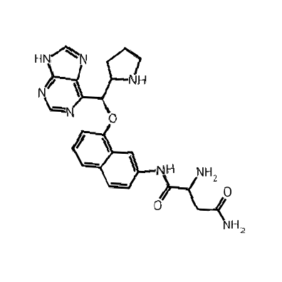 NC(=O)CC(N)C(=O)Nc1ccc2cccc(O[C@@H](c3ncnc4[nH]cnc34)C3CCCN3)c2c1